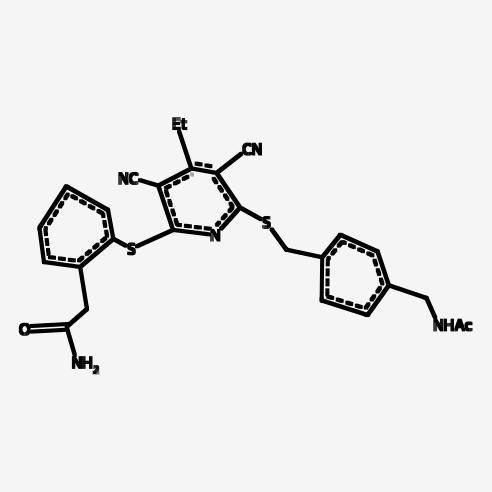 CCc1c(C#N)c(SCc2ccc(CNC(C)=O)cc2)nc(Sc2ccccc2CC(N)=O)c1C#N